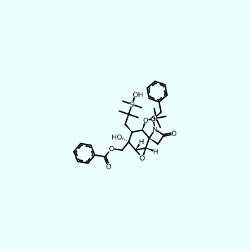 CC(C)(C[C@H]1[C@@H](O[Si](C)(C)C)[C@@]2(CC(=O)N2OCc2ccccc2)[C@@H]2O[C@@H]2[C@@]1(O)COC(=O)c1ccccc1)[Si](C)(C)O